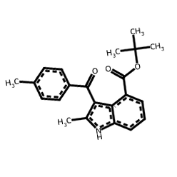 Cc1ccc(C(=O)c2c(C)[nH]c3cccc(C(=O)OC(C)(C)C)c23)cc1